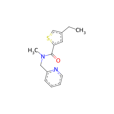 CCc1csc(C(=O)N(C)Cc2ccccn2)c1